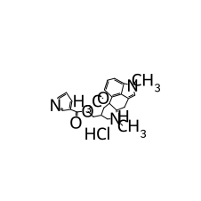 CO[C@]12CC(COC(=O)c3cccnc3)CN(C)[C@@H]1Cc1cn(C)c3cccc2c13.Cl